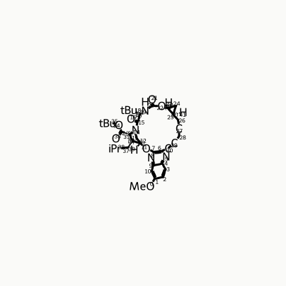 COc1ccc2nc3c(nc2c1)O[C@H]1CN(C(=O)[C@H](C(C)(C)C)NC(=O)O[C@@H]2C[C@H]2CCCCC3)[C@H](C(=O)OC(C)(C)C)[C@@H]1CC(C)C